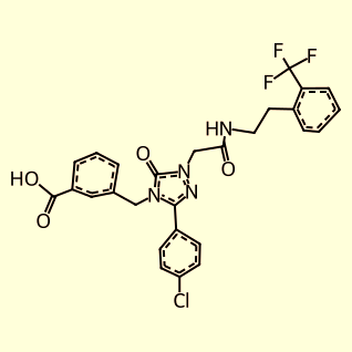 O=C(Cn1nc(-c2ccc(Cl)cc2)n(Cc2cccc(C(=O)O)c2)c1=O)NCCc1ccccc1C(F)(F)F